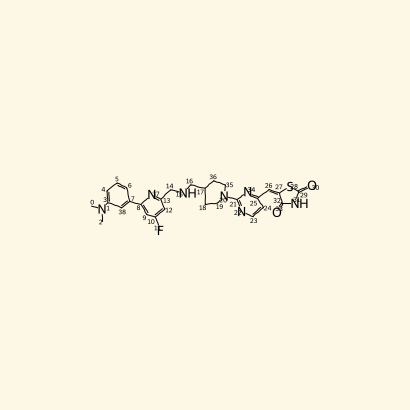 CN(C)c1cccc(-c2cc(F)cc(CNCC3CCN(c4nccc(C=C5SC(=O)NC5=O)n4)CC3)n2)c1